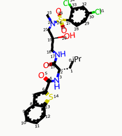 CC(C)C[C@H](NC(=O)c1cc2ccccc2s1)C(=O)NC[C@H](O)CN(C)S(=O)(=O)c1ccc(Cl)cc1Cl